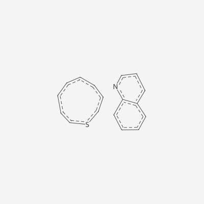 c1ccc2ncccc2c1.c1ccccsccc1